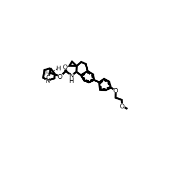 COCCOc1ccc(-c2ccc3c(c2)CCC2(CC2)C3NC(=O)O[C@H]2CN3CCC2CC3)cc1